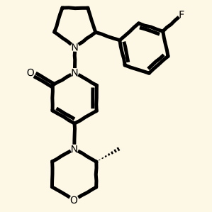 C[C@@H]1COCCN1c1ccn(N2CCCC2c2cccc(F)c2)c(=O)c1